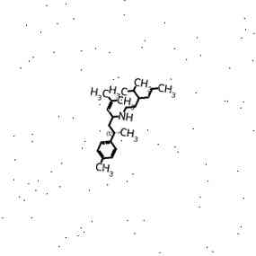 CCCC(CCNC(C=C(C)C)C[C@H](C)c1ccc(C)cc1)C(C)C